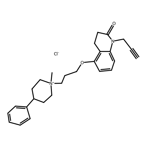 C#CCN1C(=O)CCc2c(OCCC[N+]3(C)CCC(c4ccccc4)CC3)cccc21.[Cl-]